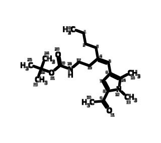 CCCC/C(=C/c1cc(C(C)=O)n(C)c1C)CCNC(=O)OC(C)(C)C